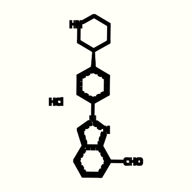 Cl.O=Cc1cccc2cn(-c3ccc([C@@H]4CCCNC4)cc3)nc12